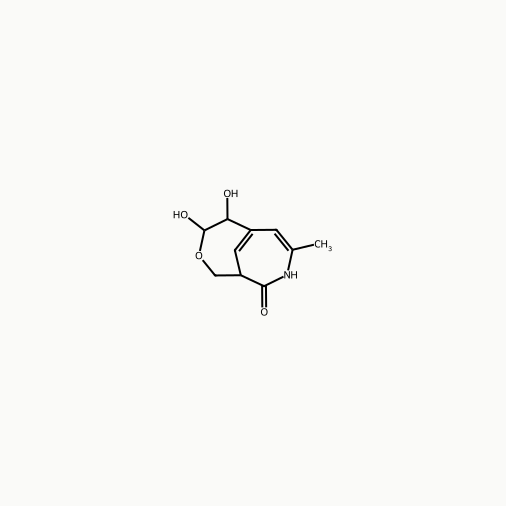 CC1=CC2=CC(COC(O)C2O)C(=O)N1